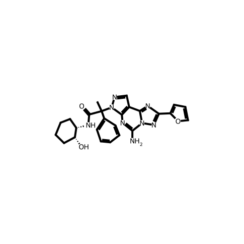 CC(C(=O)N[C@H]1CCCC[C@H]1O)(c1ccccc1)n1ncc2c1nc(N)n1nc(-c3ccco3)nc21